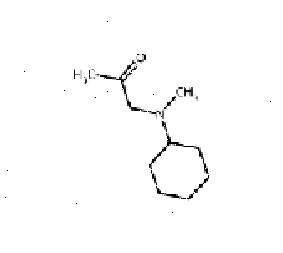 CC(=O)CN(C)C1CCCCC1